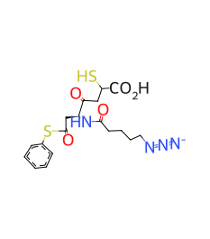 [N-]=[N+]=NCCCCC(=O)N[C@@H](CC(=O)Sc1ccccc1)C(=O)CC(S)C(=O)O